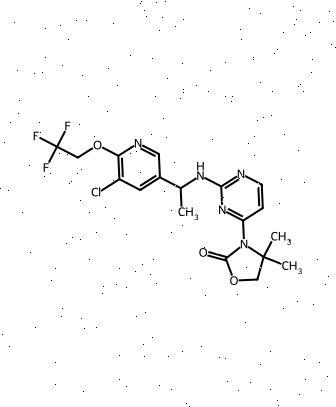 CC(Nc1nccc(N2C(=O)OCC2(C)C)n1)c1cnc(OCC(F)(F)F)c(Cl)c1